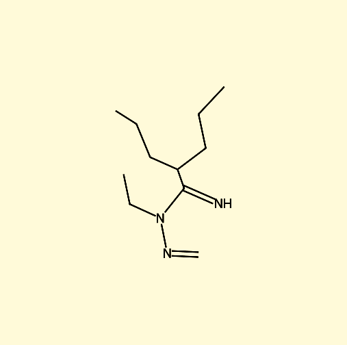 C=NN(CC)C(=N)C(CCC)CCC